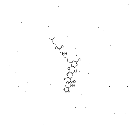 CC(C)CCOC(=O)CNCCCc1cc(Cl)ccc1Oc1cc(F)c(S(=O)(=O)Nc2nccs2)cc1Cl